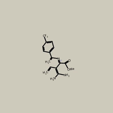 C=CC(=C(N)N)/C(=N\C(=C)c1ccc(C(F)(F)F)cc1)C(=O)OC